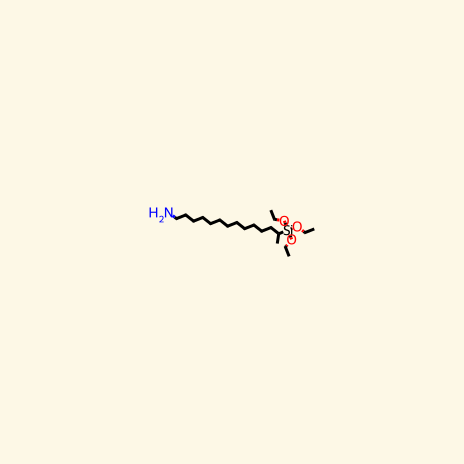 CCO[Si](OCC)(OCC)C(C)CCCCCCCCCCCCN